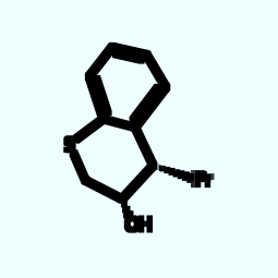 CC(C)[C@H]1c2ccccc2SC[C@H]1O